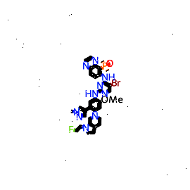 COc1cc(N2CCC3CCN(CCF)C3C2)c(-c2cnn(C)c2)cc1Nc1ncc(Br)c(Nc2ccc3nccnc3c2P(C)(C)=O)n1